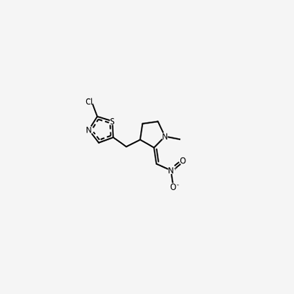 CN1CCC(Cc2cnc(Cl)s2)/C1=C/[N+](=O)[O-]